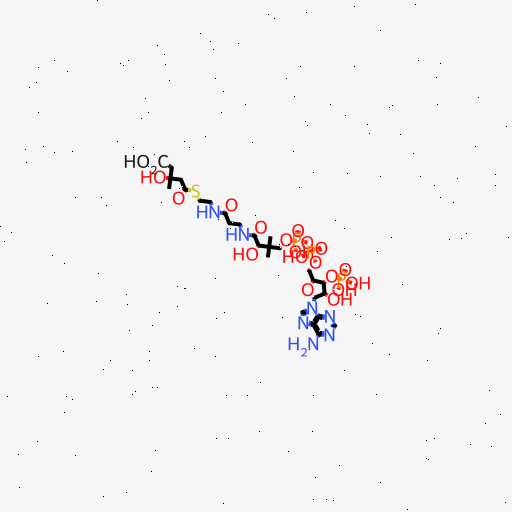 CC(O)(CC(=O)O)CC(=O)SCCNC(=O)CCNC(=O)C(O)C(C)(C)COP(=O)(O)OP(=O)(O)OCC1OC(n2cnc3c(N)ncnc32)C(O)C1OP(=O)(O)O